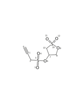 C#CCS(=O)(=O)OC1COS(=O)(=O)C1